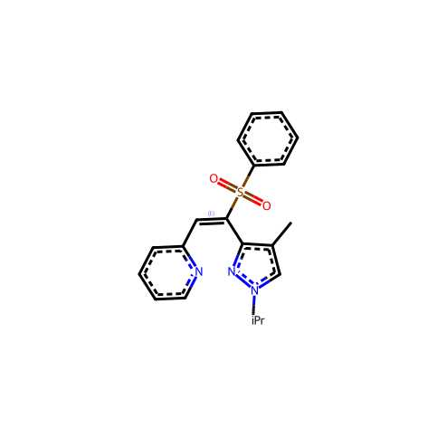 Cc1cn(C(C)C)nc1/C(=C\c1ccccn1)S(=O)(=O)c1ccccc1